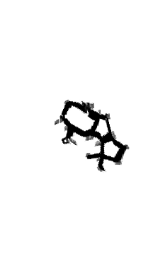 CC1(C)CCc2sc3ncnc(Cl)c3c21